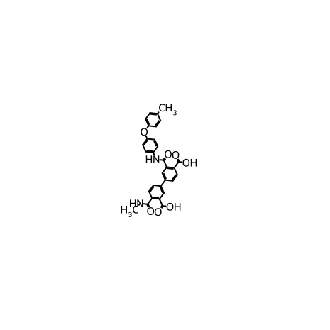 CNC(=O)c1ccc(-c2ccc(C(=O)O)c(C(=O)Nc3ccc(Oc4ccc(C)cc4)cc3)c2)cc1C(=O)O